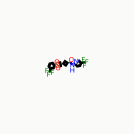 CC(C)([C@H]1C[C@@H](C(=O)Nc2ccc(C(F)(F)F)cn2)C1)S(=O)(=O)c1cccc(C(F)(F)F)c1